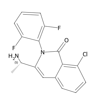 C[C@H](N)c1cc2cccc(Cl)c2c(=O)n1-c1c(F)cccc1F